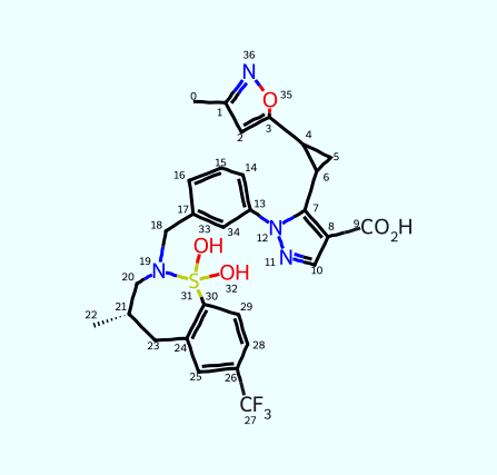 Cc1cc(C2CC2c2c(C(=O)O)cnn2-c2cccc(CN3C[C@@H](C)Cc4cc(C(F)(F)F)ccc4S3(O)O)c2)on1